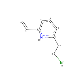 C=Cc1cccc(CCBr)n1